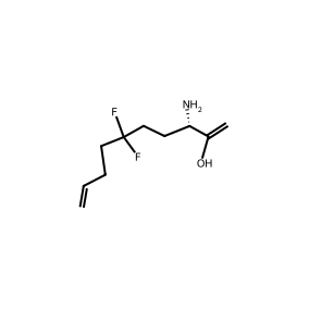 C=CCCC(F)(F)CC[C@H](N)C(=C)O